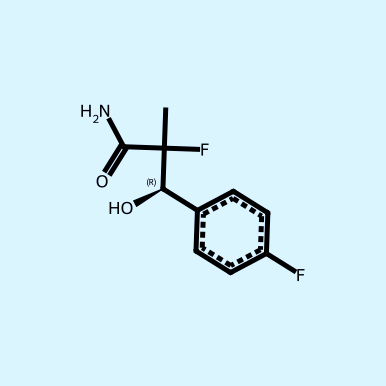 CC(F)(C(N)=O)[C@H](O)c1ccc(F)cc1